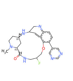 CN1CC[C@H]2C[C@H]1C(=O)NCC(F)COc1c(-c3cncnc3)ccc3c1=CC(CN=3)N2